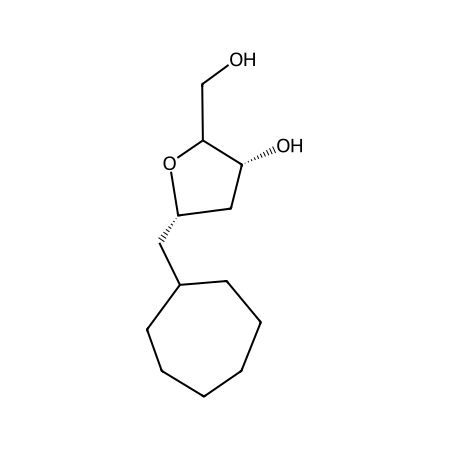 OCC1O[C@@H](CC2CCCCCC2)C[C@H]1O